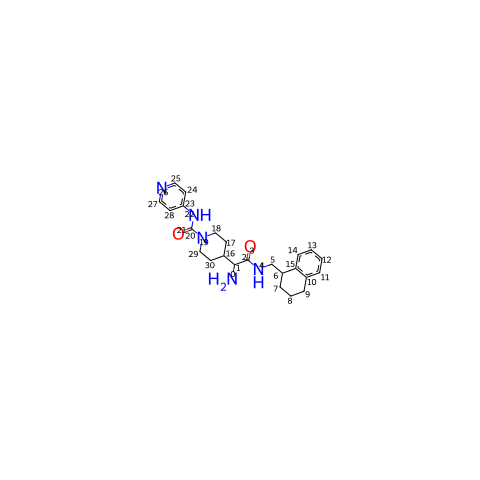 NC(C(=O)NCC1CCCc2ccccc21)C1CCN(C(=O)Nc2ccncc2)CC1